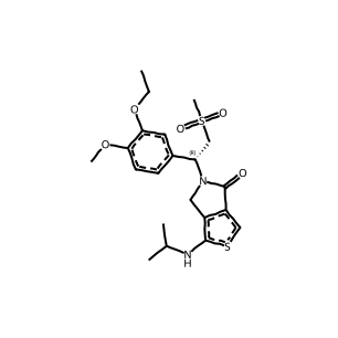 CCOc1cc([C@H](CS(C)(=O)=O)N2Cc3c(csc3NC(C)C)C2=O)ccc1OC